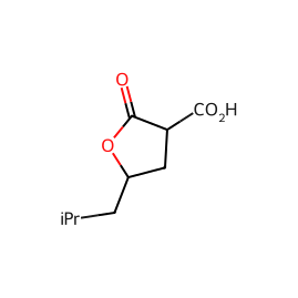 CC(C)CC1CC(C(=O)O)C(=O)O1